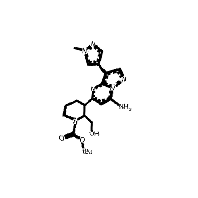 Cn1cc(-c2cnn3c(N)cc(C4CCCN(C(=O)OC(C)(C)C)C4CO)nc23)cn1